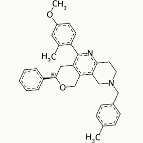 COc1ccc(-c2nc3c(c4c2C[C@H](c2ccccc2)OC4)CN(Cc2ccc(C)cc2)CC3)c(C)c1